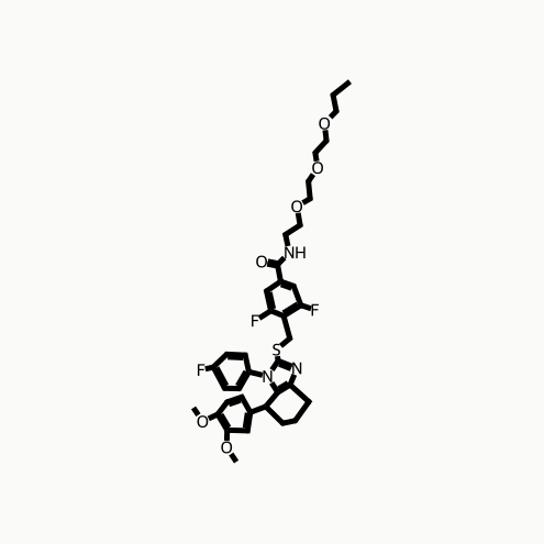 CCCOCCOCCOCCNC(=O)c1cc(F)c(CSc2nc3c(n2-c2ccc(F)cc2)C(c2ccc(OC)c(OC)c2)CCC3)c(F)c1